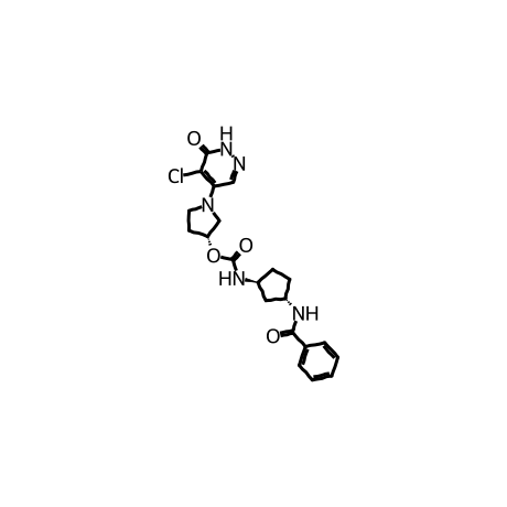 O=C(N[C@H]1CC[C@H](NC(=O)c2ccccc2)C1)O[C@@H]1CCN(c2cn[nH]c(=O)c2Cl)C1